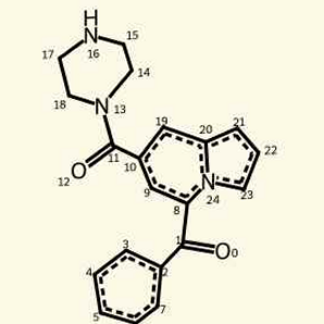 O=C(c1ccccc1)c1cc(C(=O)N2CCNCC2)cc2cccn12